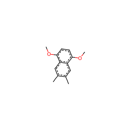 COc1ccc(OC)c2cc(C)c(C)cc12